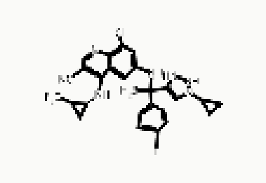 BC(Nc1cc(Cl)c2ncc(C#N)c(N[C@@H]3CC3C(F)(F)F)c2c1)(C1=CN(C2CC2)NN1)c1ccc(F)cc1